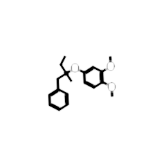 CCC(C)(Cc1ccccc1)Oc1ccc(OC)c(OC)c1